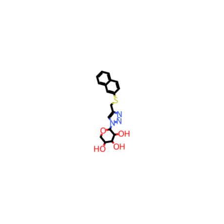 OC1COC(n2cc(CSc3ccc4ccccc4c3)nn2)C(O)C1O